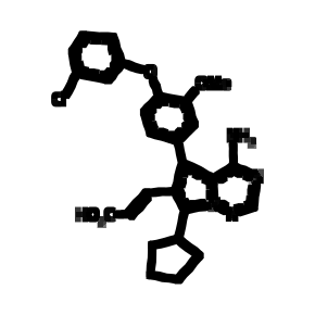 COc1cc(-c2c(/C=C/C(=O)O)c(C3CCCC3)n3ncnc(N)c23)ccc1Oc1cccc(Cl)c1